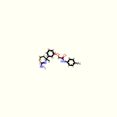 CC(=O)c1ccc(NC(=O)COc2cccc(C3(C)CCSC(N)=N3)c2)cc1